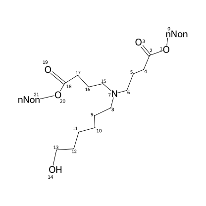 CCCCCCCCCOC(=O)CCCN(CCCCCCO)CCCC(=O)OCCCCCCCCC